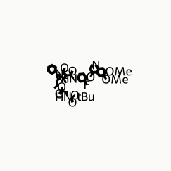 COc1cc2nccc(Oc3ccc(NC(=O)c4c(C)n(CC(C)OC(=O)CNC(=O)OC(C)(C)C)n(-c5ccccc5)c4=O)cc3F)c2cc1OC